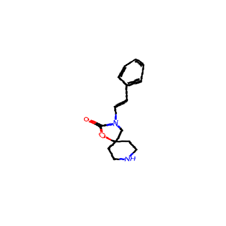 O=C1OC2(CCNCC2)CN1CCc1ccccc1